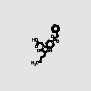 CSCCC1NC2(CCN(S(=O)(=O)Cc3ccccc3)CC2)N(CC(=O)O)C1=O